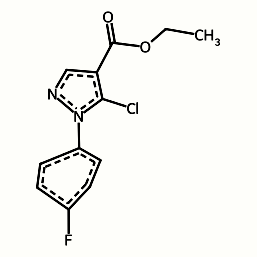 CCOC(=O)c1cnn(-c2ccc(F)cc2)c1Cl